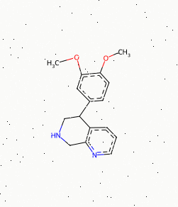 COc1ccc(C2CNCc3ncccc32)cc1OC